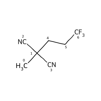 CC(C#N)(C#N)CCC(F)(F)F